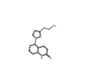 CCCc1ccn(-c2nccc3[nH]c(=O)ccc23)n1